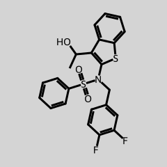 CC(O)c1c(N(Cc2ccc(F)c(F)c2)S(=O)(=O)c2ccccc2)sc2ccccc12